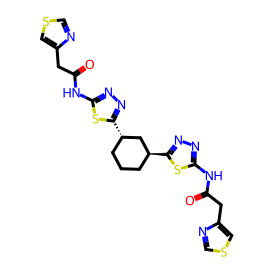 O=C(Cc1cscn1)Nc1nnc([C@H]2CCC[C@H](c3nnc(NC(=O)Cc4cscn4)s3)C2)s1